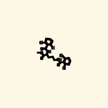 COC(=O)C(CCCNC(=O)c1c(Cl)cccc1Cl)NC(=O)c1c(Cl)cccc1Cl